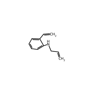 C=CCNc1ccccc1C=C